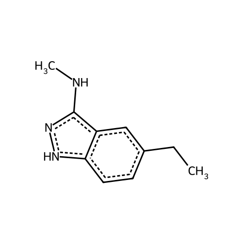 CCc1ccc2[nH]nc(NC)c2c1